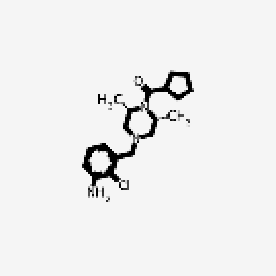 C[C@@H]1CN(Cc2cccc(N)c2Cl)C[C@H](C)N1C(=O)C1CCCC1